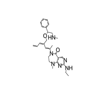 C=C/C=C(\C=C(/C)N1CCN(C)c2nc(NCC)ncc2C1=O)COC(CNC)c1ccccc1